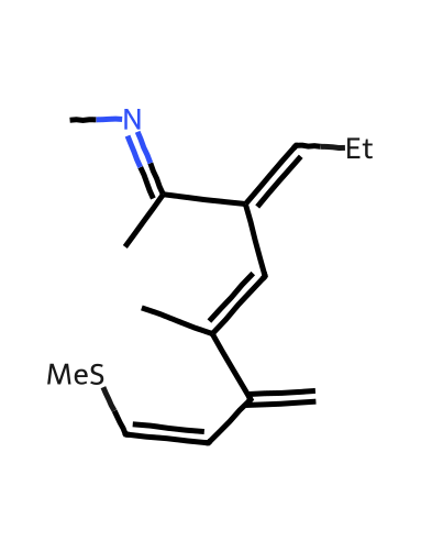 C=C(/C=C\SC)/C(C)=C/C(=C\CC)C(/C)=N/C